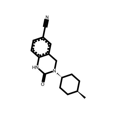 C[C@H]1CC[C@H](N2Cc3cc(C#N)ccc3NC2=O)CC1